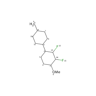 COC1CCC(C2CCC(C)CC2)C(F)C1F